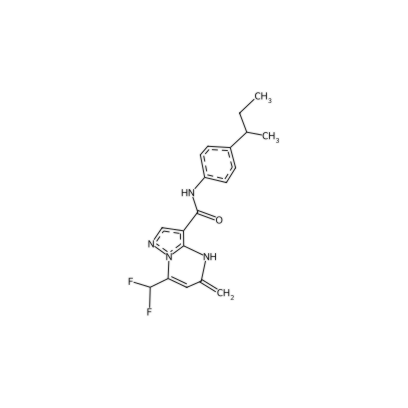 C=C1C=C(C(F)F)n2ncc(C(=O)Nc3ccc(C(C)CC)cc3)c2N1